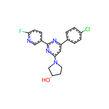 O[C@H]1CCN(c2cc(-c3ccc(Cl)cc3)nc(-c3ccc(F)nc3)n2)C1